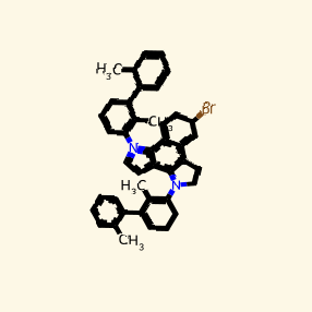 CC1=C(N2CCc3c2c2ccn(C4=C(C)C(C5C=CC=CC5C)CC=C4)c2c2c3=CC(Br)CC=2)CCC=C1c1ccccc1C